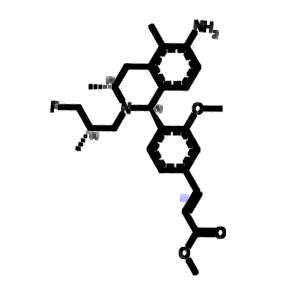 COC(=O)/C=C/c1ccc([C@@H]2c3ccc(N)c(C)c3C[C@@H](C)N2C[C@H](C)CF)c(OC)c1